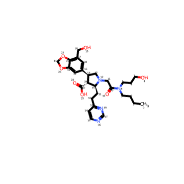 CCCCN(CCCO)C(=O)CN1C[C@H](c2cc(CO)c3c(c2)OCO3)[C@@H](C(=O)O)[C@@H]1CCc1ccncn1